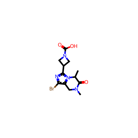 CC1C(=O)N(C)Cc2c(Br)nc(C3CN(C(=O)O)C3)n21